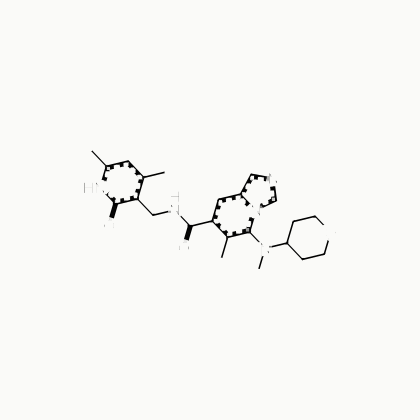 Cc1cc(C)c(CNC(=O)c2cc3cncn3c(N(C)C3CCOCC3)c2C)c(=O)[nH]1